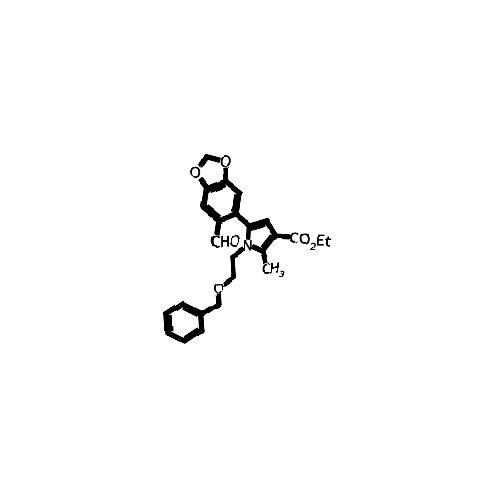 CCOC(=O)c1cc(-c2cc3c(cc2C=O)OCO3)n(CCOCc2ccccc2)c1C